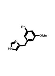 COc1cc(Cc2c[nH]cn2)cc(C(C)C)c1